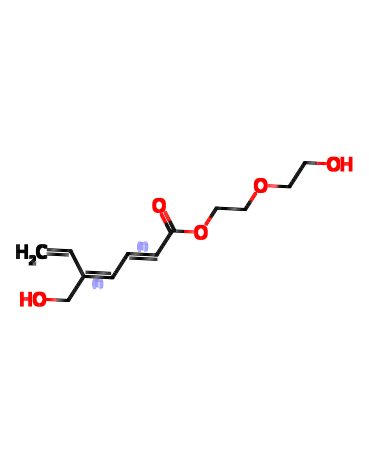 C=C/C(=C\C=C\C(=O)OCCOCCO)CO